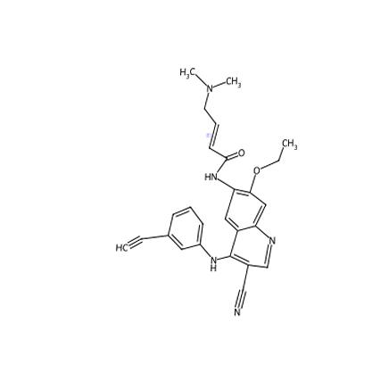 C#Cc1cccc(Nc2c(C#N)cnc3cc(OCC)c(NC(=O)/C=C/CN(C)C)cc23)c1